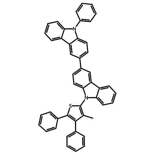 Cc1c(-n2c3ccccc3c3cc(-c4ccc5c(c4)c4ccccc4n5-c4ccccc4)ccc32)sc(-c2ccccc2)c1-c1ccccc1